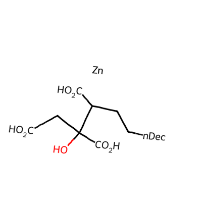 CCCCCCCCCCCCC(C(=O)O)C(O)(CC(=O)O)C(=O)O.[Zn]